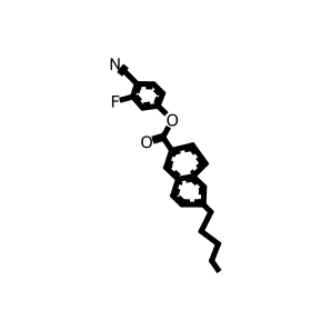 CCCCCc1ccc2cc(C(=O)Oc3ccc(C#N)c(F)c3)ccc2c1